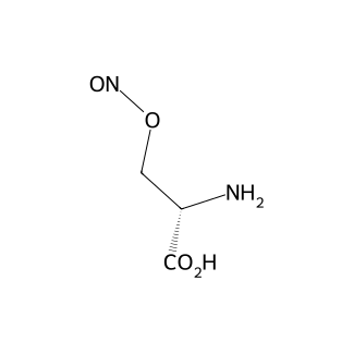 N[C@@H](CON=O)C(=O)O